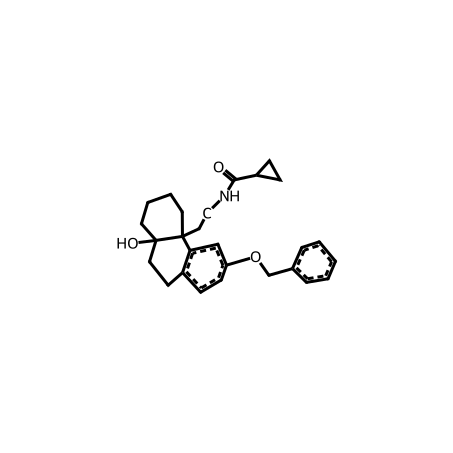 O=C(NCCC12CCCCC1(O)CCc1ccc(OCc3ccccc3)cc12)C1CC1